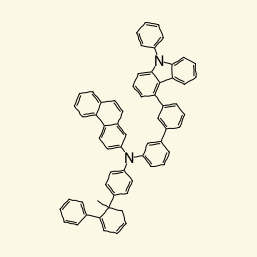 CC1(c2ccc(N(c3cccc(-c4cccc(-c5cccc6c5c5ccccc5n6-c5ccccc5)c4)c3)c3ccc4c(ccc5ccccc54)c3)cc2)CC=CC=C1c1ccccc1